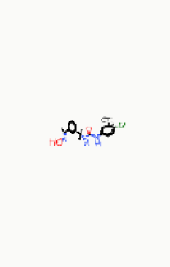 CC(=NO)c1cccc(C(C)(C)NC(=O)Nc2ccc(Cl)c(C(F)(F)F)c2)c1